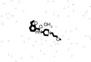 COCCCN1CCC(NC(=O)c2cccc3ccoc23)CC1.O